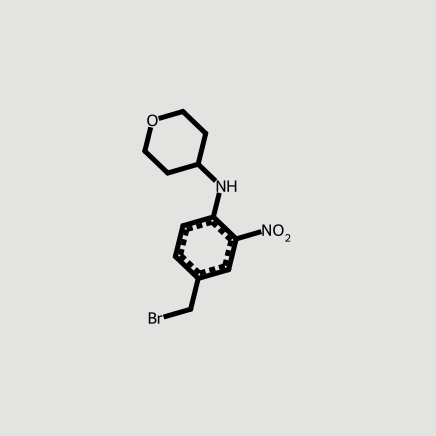 O=[N+]([O-])c1cc(CBr)ccc1NC1CCOCC1